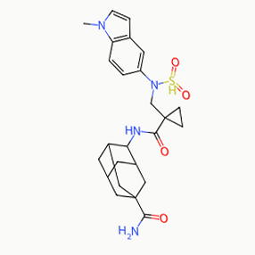 Cn1ccc2cc(N(CC3(C(=O)NC4C5CC6CC4CC(C(N)=O)(C6)C5)CC3)[SH](=O)=O)ccc21